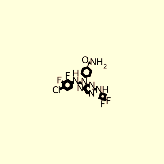 NC(=O)[C@H]1CC[C@H](n2c(Nc3ccc(Cl)c(F)c3F)nc3cnc(NC4CC(F)(F)C4)nc32)CC1